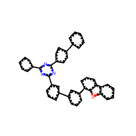 c1ccc(-c2ccc(-c3nc(-c4ccccc4)nc(-c4cccc(-c5cccc(-c6cccc7c6oc6ccccc67)c5)c4)n3)cc2)cc1